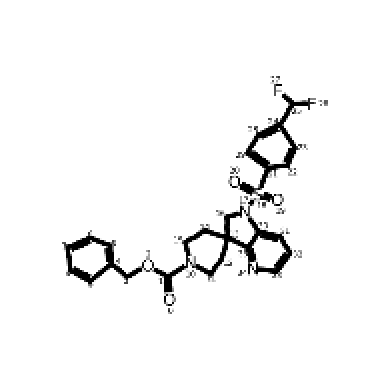 O=C(OCc1ccccc1)N1CCC2(CC1)CN(S(=O)(=O)c1ccc(C(F)F)cc1)c1cccnc12